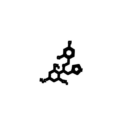 CC1CC(C)C(C(Cn2ccnc2)OCc2ccc(Cl)cc2Cl)C(C)C1